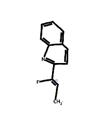 [CH2]/C=C(\F)c1ccc2ccccc2n1